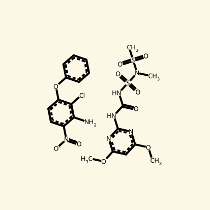 COc1cc(OC)nc(NC(=O)NS(=O)(=O)N(C)S(C)(=O)=O)n1.Nc1c([N+](=O)[O-])ccc(Oc2ccccc2)c1Cl